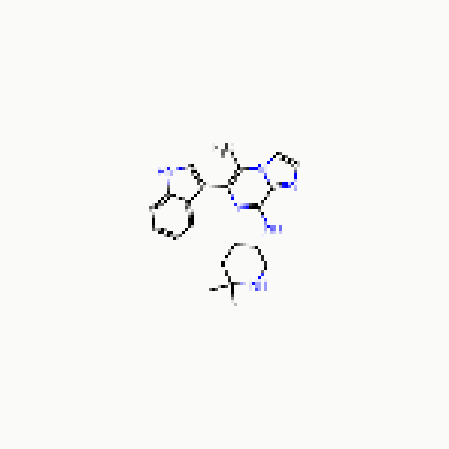 CC1(C)CC[C@H](Nc2nc(-c3c[nH]c4ccccc34)c(C(F)(F)F)n3ccnc23)CN1